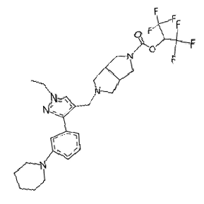 CCn1cc(CN2CC3CN(C(=O)OC(C(F)(F)F)C(F)(F)F)CC3C2)c(-c2cccc(N3CCCCC3)c2)n1